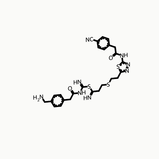 N#Cc1ccc(CC(=O)Nc2nnc(CCSCCC(=N)SC(=N)NC(=O)Cc3ccc(CN)cc3)s2)cc1